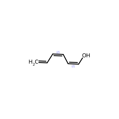 C=C/C=C\C=C/O